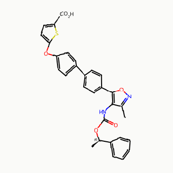 Cc1noc(-c2ccc(-c3ccc(Oc4ccc(C(=O)O)s4)cc3)cc2)c1NC(=O)O[C@H](C)c1ccccc1